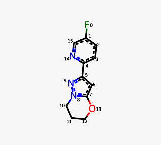 Fc1ccc(-c2cc3n(n2)CCCO3)nc1